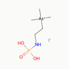 C[As+](C)(C)CCNP(=O)(O)O.[I-]